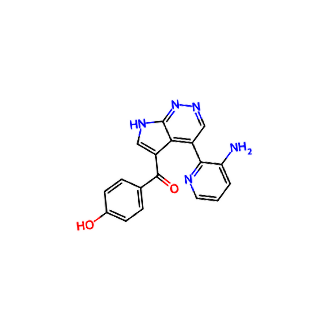 Nc1cccnc1-c1cnnc2[nH]cc(C(=O)c3ccc(O)cc3)c12